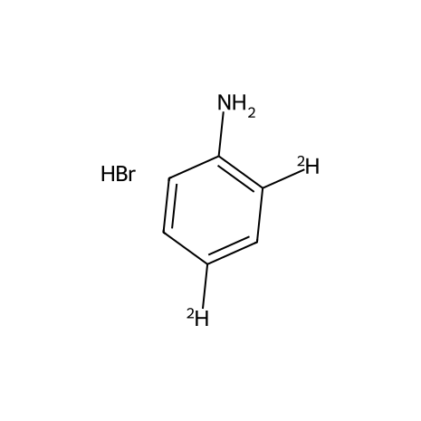 Br.[2H]c1ccc(N)c([2H])c1